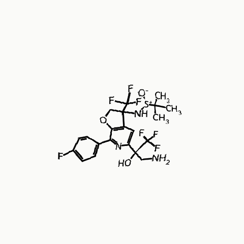 CC(C)(C)[S@@+]([O-])NC1(C(F)(F)F)COc2c1cc(C(O)(CN)C(F)(F)F)nc2-c1ccc(F)cc1